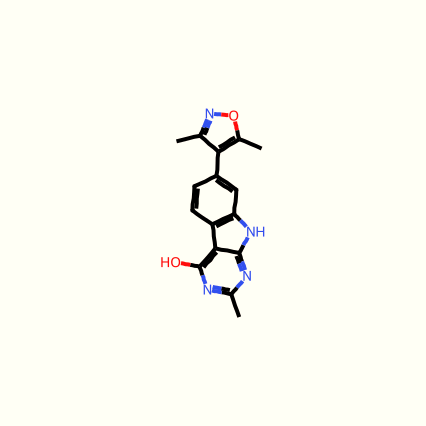 Cc1nc(O)c2c(n1)[nH]c1cc(-c3c(C)noc3C)ccc12